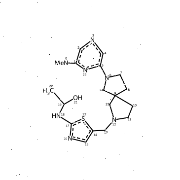 CNc1cncc(N2CCC3(CCN(Cc4cnc(NC(C)O)s4)C3)C2)n1